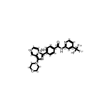 N[N+]12C=CN=CC1=C(N1CCOCC1)N=C2c1ccc(C(=O)Nc2cc(C(F)(F)F)ccn2)cc1